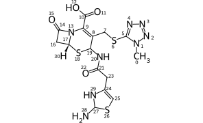 Cn1nnnc1SCC1=C(C(=O)O)N2C(=O)C[C@H]2SC1NC(=O)CC1=CSC(N)N1